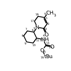 CC1=CC(=O)N(C2CCCCC2NC(=O)OC(C)(C)C)CC1